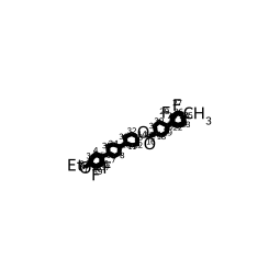 CCOc1ccc(C2=CCC(C3CCC(OC(=O)C4CCC(c5ccc(C)c(F)c5F)CC4)CC3)CC2)c(F)c1F